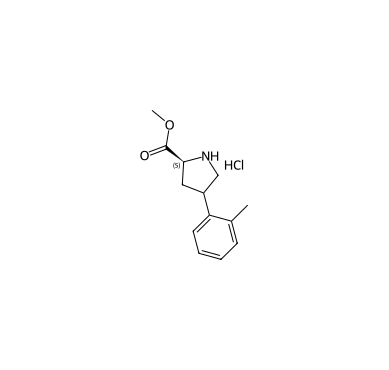 COC(=O)[C@@H]1CC(c2ccccc2C)CN1.Cl